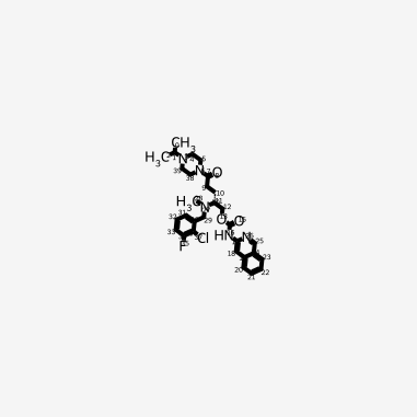 CC(C)N1CCN(C(=O)CC[C@H](COC(=O)Nc2cc3ccccc3cn2)N(C)Cc2cccc(F)c2Cl)CC1